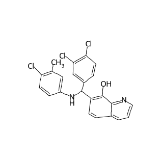 Cc1cc(NC(c2ccc(Cl)c(Cl)c2)c2ccc3cccnc3c2O)ccc1Cl